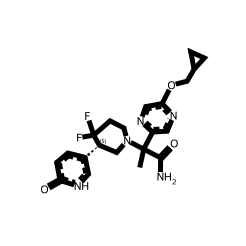 CC(C(N)=O)(c1cnc(OCC2CC2)cn1)N1CCC(F)(F)[C@@H](c2ccc(=O)[nH]c2)C1